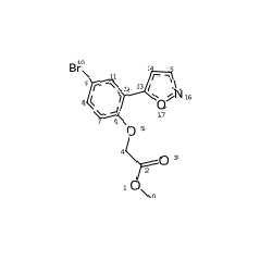 COC(=O)COc1ccc(Br)cc1-c1ccno1